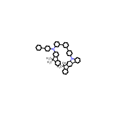 CC1(C)C2=CC3C(C=C2c2ccccc21)c1ccccc1N3c1ccc(-c2cccc(-c3cccc(N(c4ccc(-c5ccccc5)cc4)c4ccc5c(c4)C(C)(C)c4ccccc4-5)c3)c2)cc1